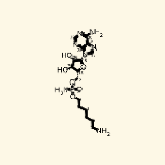 NCCCCCCOP(N)(=O)OC[C@H]1O[C@@H](n2cnc3c(N)ncnc32)[C@H](O)[C@@H]1O